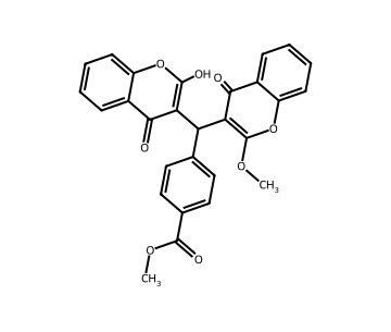 COC(=O)c1ccc(C(c2c(O)oc3ccccc3c2=O)c2c(OC)oc3ccccc3c2=O)cc1